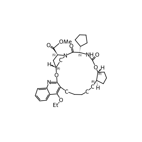 CCOc1c2c(nc3ccccc13)O[C@@H]1C[C@@H](C(=O)OC)N(C1)C(=O)[C@H](C1CCCC1)NC(=O)O[C@@H]1CCC[C@H]1CCCCC2